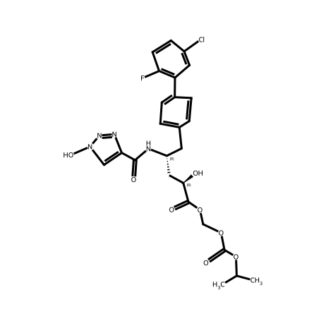 CC(C)OC(=O)OCOC(=O)[C@H](O)C[C@@H](Cc1ccc(-c2cc(Cl)ccc2F)cc1)NC(=O)c1cn(O)nn1